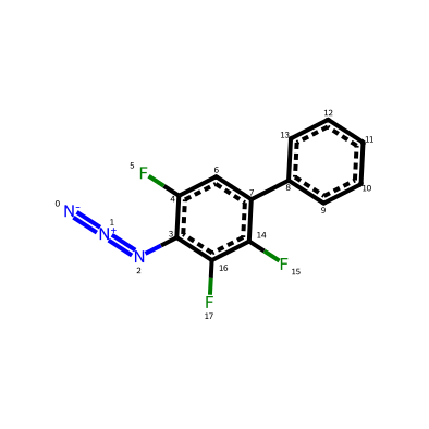 [N-]=[N+]=Nc1c(F)cc(-c2ccccc2)c(F)c1F